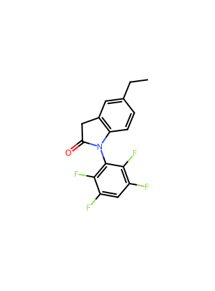 CCc1ccc2c(c1)CC(=O)N2c1c(F)c(F)cc(F)c1F